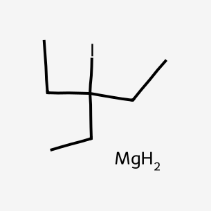 CCC(I)(CC)CC.[MgH2]